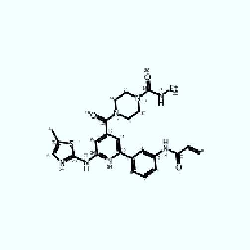 C=CC(=O)Nc1cccc(-c2cc(C(=O)N3CCN(C(=O)NCC)CC3)cc(Nc3ncc(C)s3)n2)c1